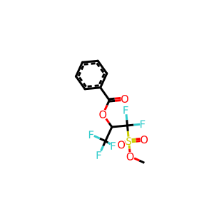 COS(=O)(=O)C(F)(F)C(OC(=O)c1ccccc1)C(F)(F)F